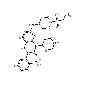 CCS(=O)(=O)N1CCC(Nc2ncc3c(n2)N(C2CCOCC2)C(=O)C(c2ccccc2C)C3)CC1